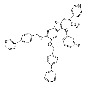 O=C(O)C(=Cc1sc2cc(OCc3ccc(-c4ccccc4)cc3)c(OCc3ccc(-c4ccccc4)cc3)cc2c1Oc1cccc(F)c1)c1ccncc1